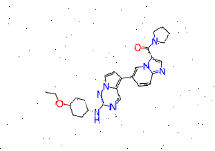 CCO[C@H]1CC[C@H](Nc2ncc3c(-c4ccc5ncc(C(=O)N6CCCC6)n5c4)ccn3n2)CC1